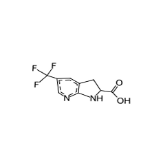 O=C(O)C1Cc2cc(C(F)(F)F)cnc2N1